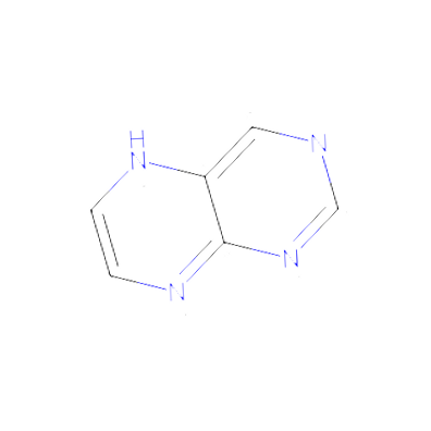 C1=CNC2=C[N]C=NC2=N1